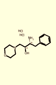 Cl.Cl.N[C@H](Cc1ccccc1)[C@@H](O)CN1CCOCC1